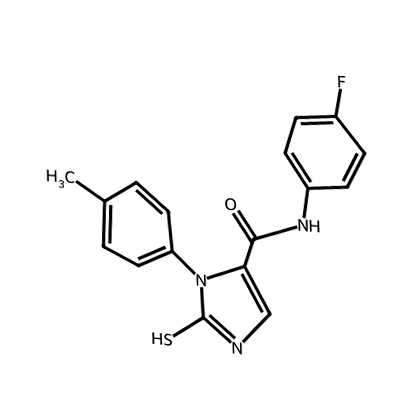 Cc1ccc(-n2c(C(=O)Nc3ccc(F)cc3)cnc2S)cc1